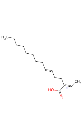 C/C=C(\CCC=CCCCCCCCC)C(=O)O